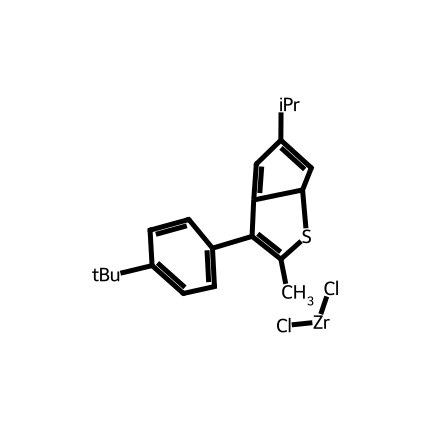 CC1=C(c2ccc(C(C)(C)C)cc2)C2=CC(C(C)C)=CC2S1.[Cl][Zr][Cl]